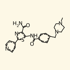 CN1CCN(Cc2ccc(C(=O)Nc3sc(-c4ccncc4)nc3C(N)=O)cc2)CC1